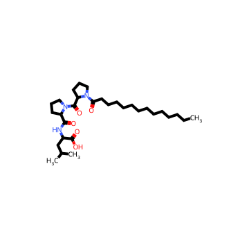 CCCCCCCCCCCCCC(=O)N1CCCC1C(=O)N1CCCC1C(=O)NC(CC(C)C)C(=O)O